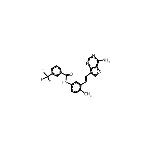 Cc1ccc(NC(=O)c2cccc(C(F)(F)F)c2)cc1/C=C/c1csc2c(N)ncnc12